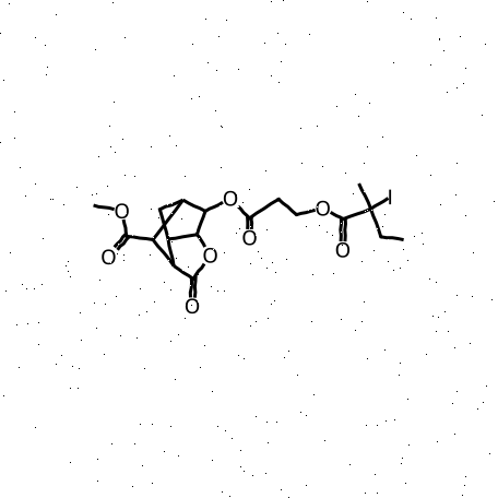 CCC(C)(I)C(=O)OCCC(=O)OC1C2CC3C1OC(=O)C3C2C(=O)OC